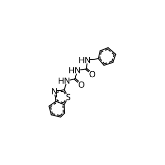 O=C(NC(=O)Nc1nc2ccccc2s1)Nc1ccccc1